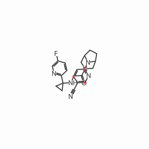 N#Cc1ccc(N2C3CCC2CN(C(=O)CNC2(c4ccc(F)cn4)CC2)C3)nc1